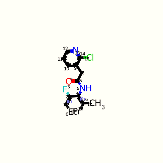 CC/C=C(F)\C(NC(=O)Cc1cccnc1Cl)=C(\C)C(C)C